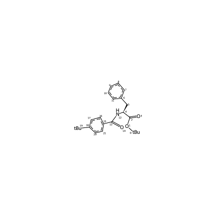 CC(C)(C)OC(=O)[C@H](Cc1ccccc1)NC(=O)c1ccc(C(C)(C)C)cc1